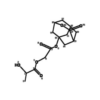 CC(O)C(=O)OCC(=O)OC12CC3CC(C1)OC(=O)C(C3)C2